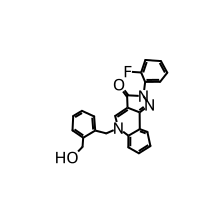 O=c1c2cn(Cc3ccccc3CO)c3ccccc3c-2nn1-c1ccccc1F